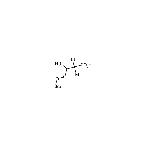 CCC(CC)(C(=O)O)C(C)OOC(C)(C)C